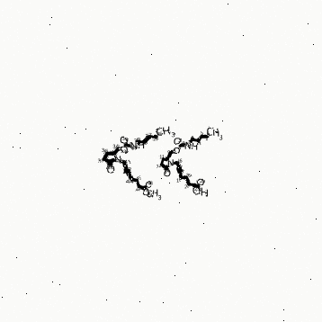 CCCCCNC(=O)OCC1CCC(=O)N1CC#CCCCC(=O)O.CCCCCNC(=O)OCC1CCC(=O)N1CC#CCCCC(=O)OC